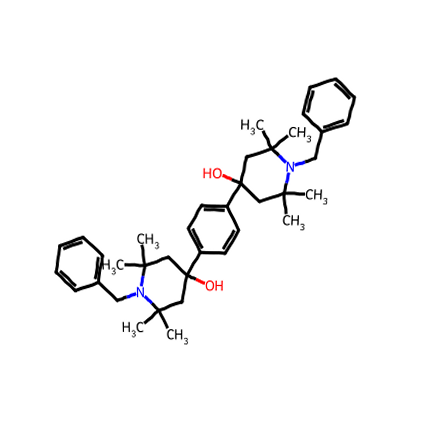 CC1(C)CC(O)(c2ccc(C3(O)CC(C)(C)N(Cc4ccccc4)C(C)(C)C3)cc2)CC(C)(C)N1Cc1ccccc1